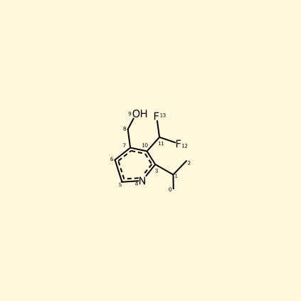 CC(C)c1nccc(CO)c1C(F)F